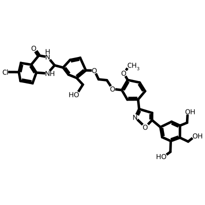 COc1ccc(-c2cc(-c3cc(CO)c(CO)c(CO)c3)on2)cc1OCCOc1ccc(C2NC(=O)c3cc(Cl)ccc3N2)cc1CO